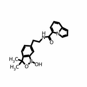 CC1(C)OB(O)c2cc(CCNC(=O)c3cccc4cccn34)ccc21